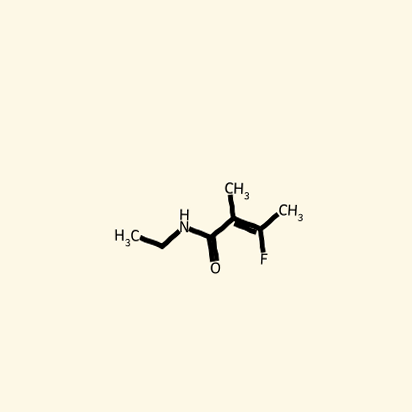 CCNC(=O)/C(C)=C(/C)F